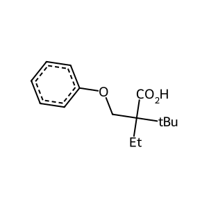 CCC(COc1ccccc1)(C(=O)O)C(C)(C)C